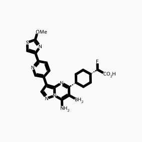 Bc1c(N)n2ncc(-c3ccc(-c4csc(OC)n4)nc3)c2nc1[C@H]1CC[C@@H](C(F)C(=O)O)CC1